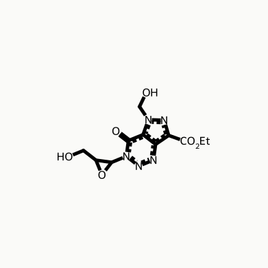 CCOC(=O)c1nn(CO)c2c(=O)n(C3OC3CO)nnc12